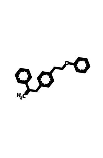 C=C(Cc1ccc(CCOc2ccccc2)cc1)c1ccccc1